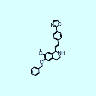 COc1cc2c(cc1OCc1ccccc1)CCNC2C=Cc1ccc(-c2ncco2)cc1